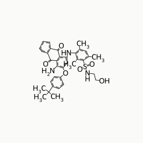 Cc1cc(C)c(S(=O)(=O)NCCO)c(C)c1Nc1cc(Oc2ccc(C(C)(C)C)cc2)c(N)c2c1C(=O)c1ccccc1C2=O